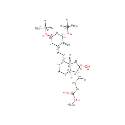 C=C1/C(=C\C=C2/CCC[C@@]3(C)[C@H]2C[C@H](O)[C@@H]3C(C)SCC(=O)OC(C)(C)C)C[C@@H](O[Si](C)(C)C(C)(C)C)C[C@@H]1O[Si](C)(C)C(C)(C)C